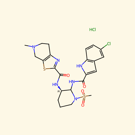 CN1CCc2nc(C(=O)N[C@@H]3CCCN(S(C)(=O)=O)C3NC(=O)c3cc4cc(Cl)ccc4[nH]3)sc2C1.Cl